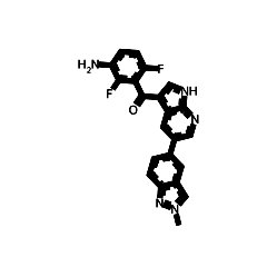 Cn1cc2cc(-c3cnc4[nH]cc(C(=O)c5c(F)ccc(N)c5F)c4c3)ccc2n1